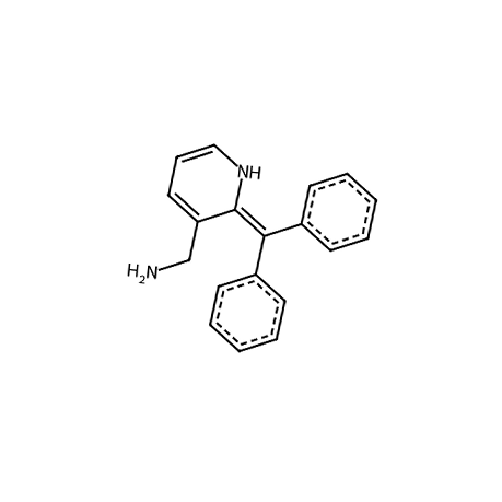 NCC1=CC=CNC1=C(c1ccccc1)c1ccccc1